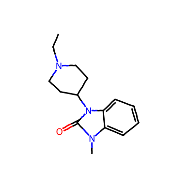 CCN1CCC(n2c(=O)n(C)c3ccccc32)CC1